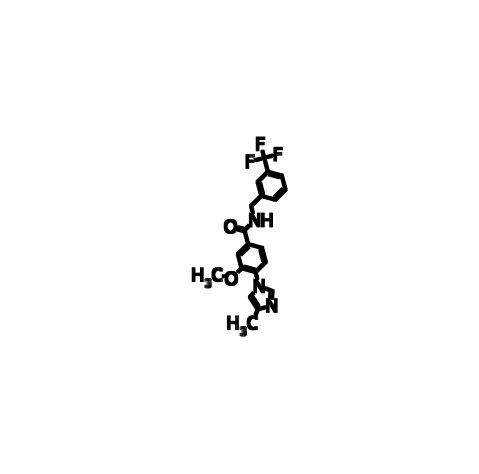 COc1cc(C(=O)NCc2cccc(C(F)(F)F)c2)ccc1-n1cnc(C)c1